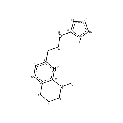 CN1CCCc2ccc(CCOc3cccs3)nc21